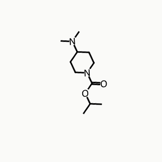 CC(C)OC(=O)N1CCC(N(C)C)CC1